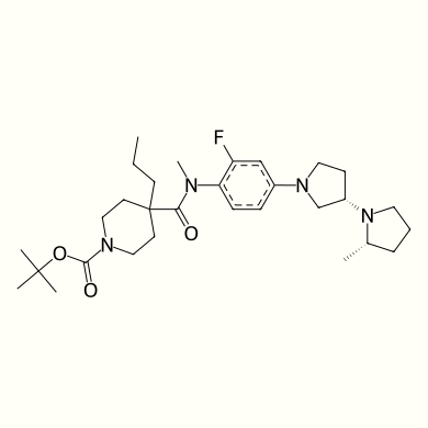 CCCC1(C(=O)N(C)c2ccc(N3CC[C@H](N4CCC[C@@H]4C)C3)cc2F)CCN(C(=O)OC(C)(C)C)CC1